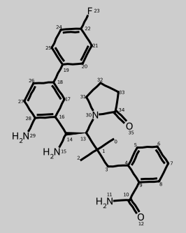 CC(C)(Cc1ccccc1C(N)=O)[C@@H](C(N)c1cc(-c2ccc(F)cc2)ccc1N)N1CCCC1=O